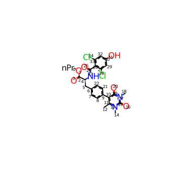 CCCOC(=O)[C@H](Cc1ccc(-c2c(C)n(C)c(=O)n(C)c2=O)cc1)NC(=O)c1c(Cl)cc(O)cc1Cl